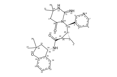 CC1[C@@H]([C@H](c2cccnc2)N2C(=N)NC(C)(C)CC2=O)[C@@H]1C(=O)N[C@H]1CC(C)(C)Oc2ccccc21